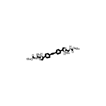 CC(C)(C)OC(=O)N[C@H](c1ncc(-c2ccc(C#Cc3ccc(-c4cnc([C@@H](NC(=O)OC(C)(C)C)C(C)(C)C)[nH]4)cc3)cc2)[nH]1)C(C)(C)C